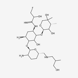 CC(CO)CNC[C@@H]1CCC(N)[C@@H](OC2C(O)C(O[C@H]3OCC(C)(O)[C@H](C)C3O)[C@H](NC(=N)C(O)CF)C[C@@H]2N)O1